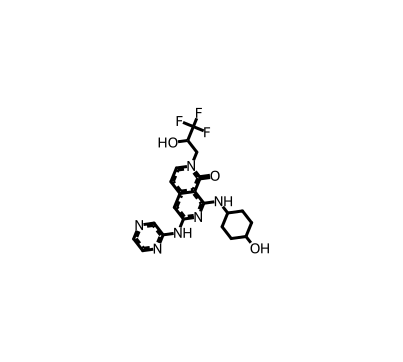 O=c1c2c(NC3CCC(O)CC3)nc(Nc3cnccn3)cc2ccn1CC(O)C(F)(F)F